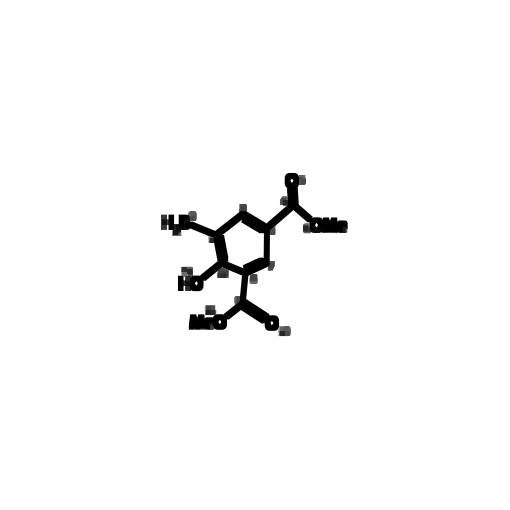 Bc1cc(C(=O)OC)cc(C(=O)OC)c1O